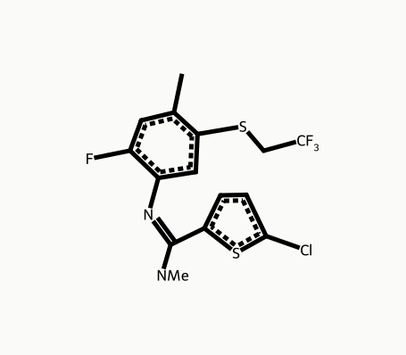 CN/C(=N/c1cc(SCC(F)(F)F)c(C)cc1F)c1ccc(Cl)s1